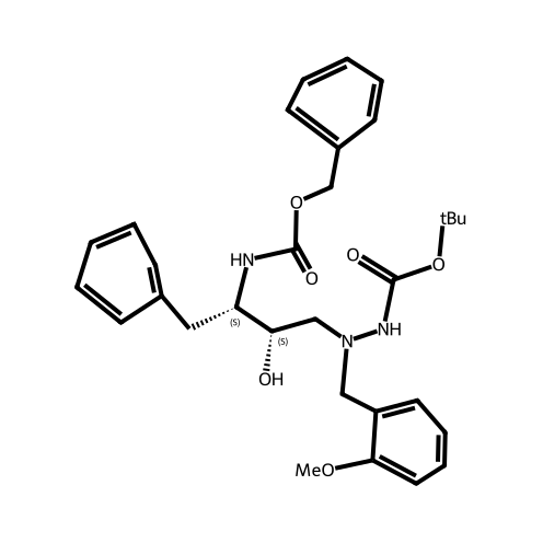 COc1ccccc1CN(C[C@H](O)[C@H](Cc1ccccc1)NC(=O)OCc1ccccc1)NC(=O)OC(C)(C)C